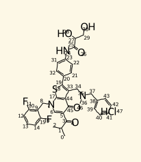 CC(C)C(=O)c1cn(Cc2c(F)cccc2F)c2sc(-c3ccc(NC(=O)C(O)CO)cc3)c(CN(C)Cc3ccccc3)c2c1=O.Cl